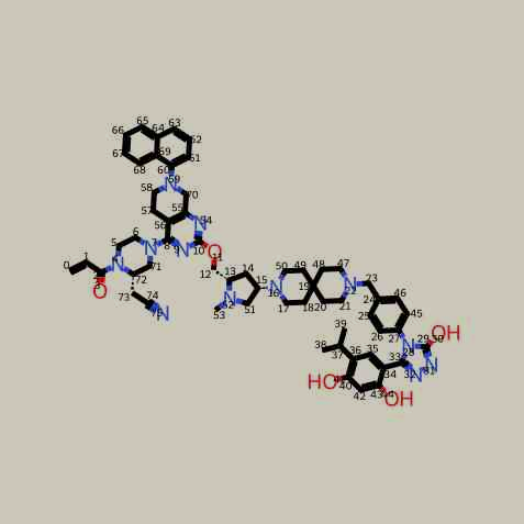 C=CC(=O)N1CCN(c2nc(OC[C@@H]3C[C@H](N4CCC5(CCN(Cc6ccc(-n7c(O)nnc7-c7cc(C(C)C)c(O)cc7O)cc6)CC5)CC4)CN3C)nc3c2CCN(c2cccc4ccccc24)C3)C[C@@H]1CC#N